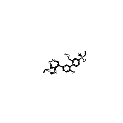 CCn1cnc2c(-c3ccc(F)c(-c4ccc(S(=O)(=O)CC)cc4COC)c3)cnnc21